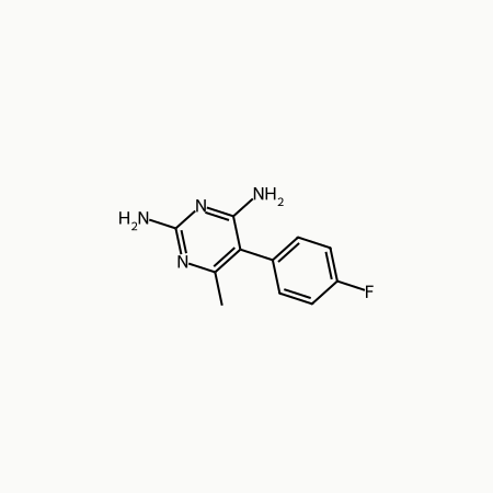 Cc1nc(N)nc(N)c1-c1ccc(F)cc1